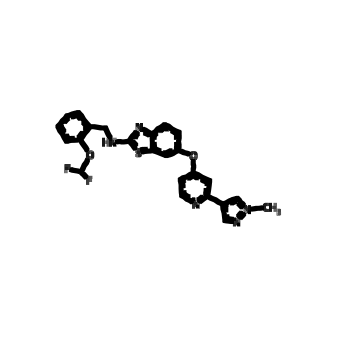 Cn1cc(-c2cc(Oc3ccc4nc(NCc5ccccc5OC(F)F)sc4c3)ccn2)cn1